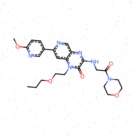 CCCOCCn1c(=O)c(NCC(=O)N2CCOCC2)nc2cnc(-c3ccc(OC)nc3)cc21